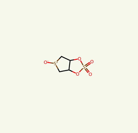 O=S1(=O)OC2C[S+]([O-])CC2O1